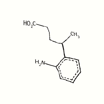 CC(CCC(=O)O)c1ccccc1N